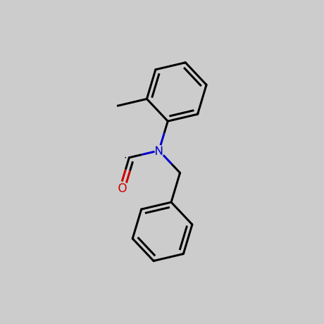 Cc1ccccc1N([C]=O)Cc1ccccc1